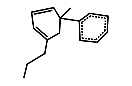 CCCC1=CC=CC(C)(c2ccccc2)C1